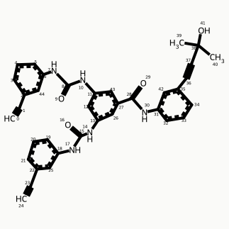 C#Cc1cccc(NC(=O)Nc2cc(NC(=O)Nc3cccc(C#C)c3)cc(C(=O)Nc3cccc(C#CC(C)(C)O)c3)c2)c1